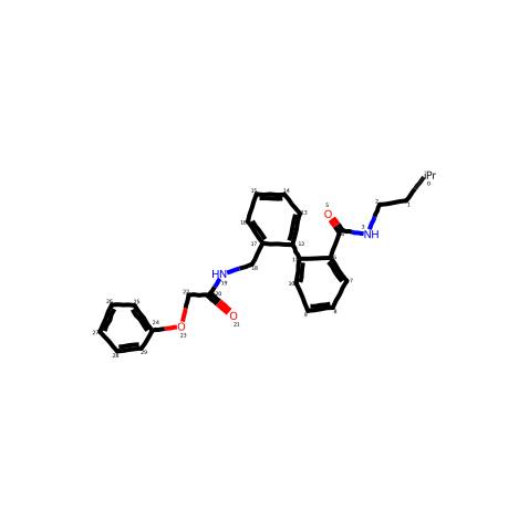 CC(C)CCNC(=O)c1ccccc1-c1ccccc1CNC(=O)COc1ccccc1